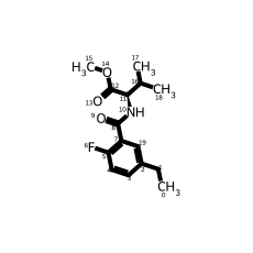 CCc1ccc(F)c(C(=O)N[C@@H](C(=O)OC)C(C)C)c1